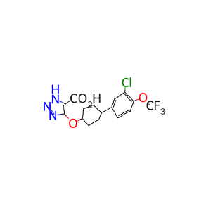 O=C(O)c1[nH]nnc1OC1CCC(c2ccc(OC(F)(F)F)c(Cl)c2)CC1